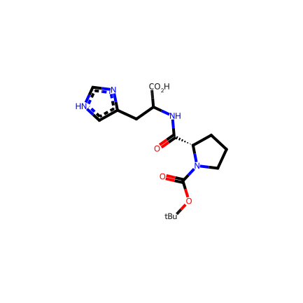 CC(C)(C)OC(=O)N1CCC[C@H]1C(=O)NC(Cc1c[nH]cn1)C(=O)O